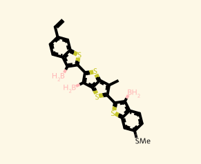 Bc1c(-c2sc3c(C)c(-c4sc5cc(SC)ccc5c4B)sc3c2B)sc2cc(C=C)ccc12